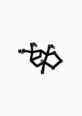 CC1(C)C2CC1C1(C)O[B]O[C@@H]1C2